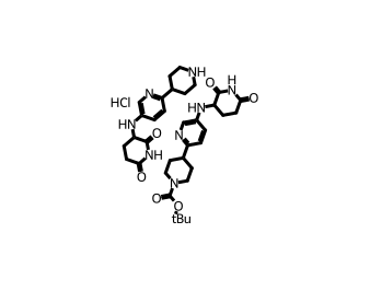 CC(C)(C)OC(=O)N1CCC(c2ccc(NC3CCC(=O)NC3=O)cn2)CC1.Cl.O=C1CCC(Nc2ccc(C3CCNCC3)nc2)C(=O)N1